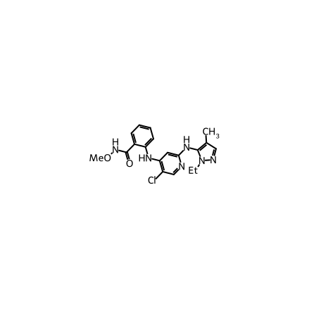 CCn1ncc(C)c1Nc1cc(Nc2ccccc2C(=O)NOC)c(Cl)cn1